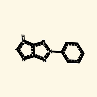 [c]1nc2nn(-c3ccccc3)nc2[nH]1